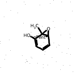 CCCCCC12C=CC=C(O)C1(C)O2